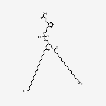 CCCCCCCC/C=C/CCCCCCCC(=O)OC(COC(=O)CCCCCCCCCCCCCCC)COP(=O)(O)OCCn1cccc1CCC(=O)O